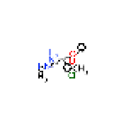 CCN/C=C(\N)CCC(CC(=O)OCc1ccccc1)c1ccc(Cl)c(C)c1